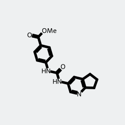 COC(=O)c1ccc(NC(=O)Nc2cnc3c(c2)CCC3)cc1